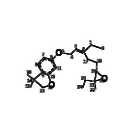 CCC(=CCOc1ccc2c(c1)OCC2(C)C)CCC1OC1(C)CC